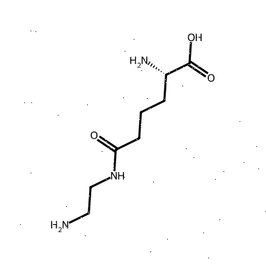 NCCNC(=O)CCC[C@H](N)C(=O)O